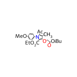 CCOC(=O)c1c(OCC(=O)OCC(C)C)c(C)c(C(C)=O)n1-c1ccc(OC)cc1